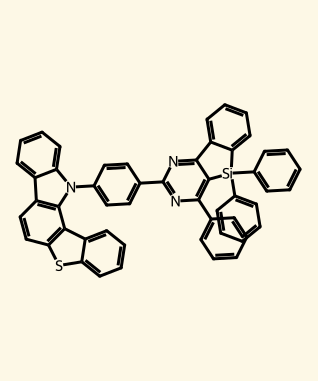 c1ccc(-c2nc(-c3ccc(-n4c5ccccc5c5ccc6sc7ccccc7c6c54)cc3)nc3c2[Si](c2ccccc2)(c2ccccc2)c2ccccc2-3)cc1